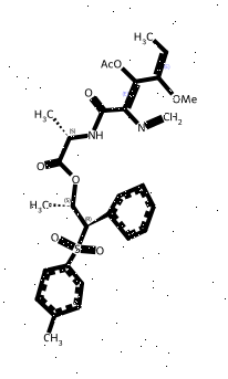 C=N/C(C(=O)N[C@@H](C)C(=O)O[C@@H](C)[C@@H](c1ccccc1)S(=O)(=O)c1ccc(C)cc1)=C(OC(C)=O)\C(=C/C)OC